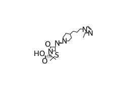 Cc1nccn1CCCC1CCN(C=NC2C(=O)N3C2SC(C)(C)[C@@H]3C(=O)O)CC1